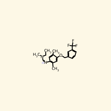 CCN(C)/C=N\c1cc(C)c(OCc2cccc(C(F)(F)F)c2)cc1C